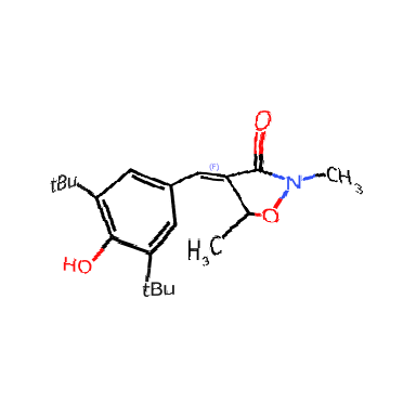 CC1ON(C)C(=O)/C1=C/c1cc(C(C)(C)C)c(O)c(C(C)(C)C)c1